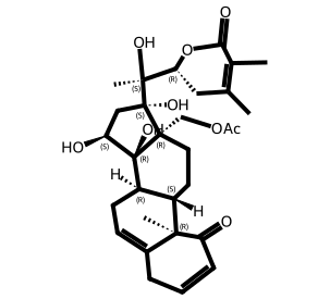 CC(=O)OC[C@]12CC[C@H]3[C@@H](CC=C4CC=CC(=O)[C@@]43C)[C@]1(O)[C@@H](O)C[C@@]2(O)[C@@](C)(O)[C@H]1CC(C)=C(C)C(=O)O1